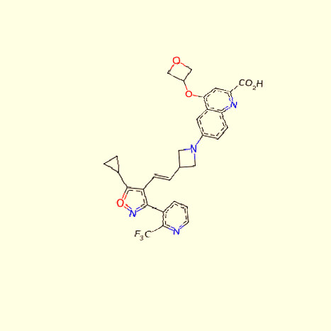 O=C(O)c1cc(OC2COC2)c2cc(N3CC(C=Cc4c(-c5cccnc5C(F)(F)F)noc4C4CC4)C3)ccc2n1